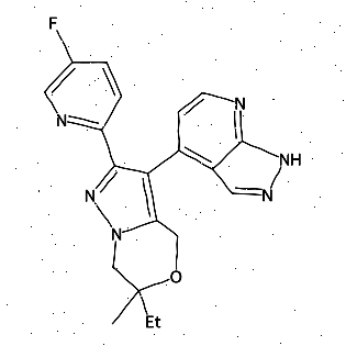 CCC1(C)Cn2nc(-c3ccc(F)cn3)c(-c3ccnc4[nH]ncc34)c2CO1